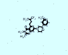 C=C(CCc1nc(N2CCO[C@H](c3ccnc(C)c3)C2)cc2nc(C)n(C)c(=O)c12)C(F)(F)F